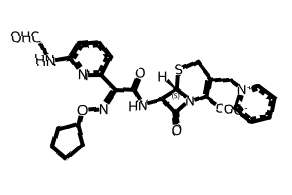 O=CNc1cccc(C(=NOC2CCCC2)C(=O)NC2C(=O)N3C(C(=O)[O-])=C(C[n+]4ccccc4)CS[C@@H]23)n1